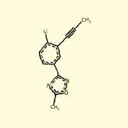 CC#Cc1cc(-c2noc(C)n2)ccc1Cl